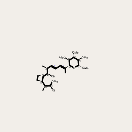 CC[C@H](OC)[C@@H](C)[C@H]1CC[C@@H]1[C@H](O)[C@@H](C)/C=C/C=C(\C)[C@H]1O[C@@H](OC)[C@H](OC)[C@@H](OC)[C@@H]1OC